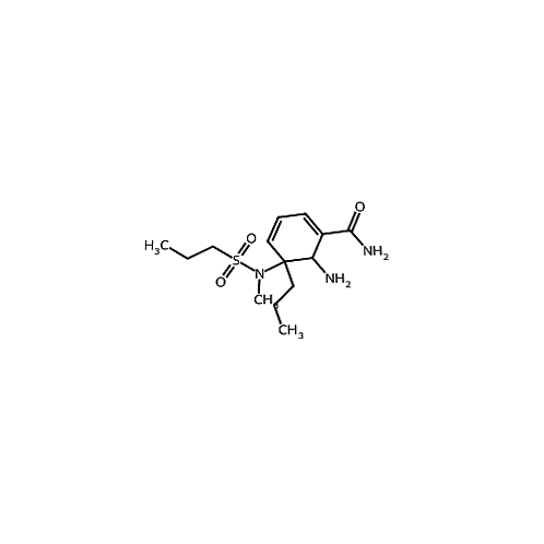 CCCC1(N(C)S(=O)(=O)CCC)C=CC=C(C(N)=O)C1N